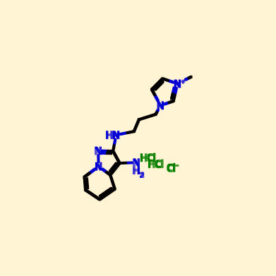 C[n+]1ccn(CCCNc2nn3ccccc3c2N)c1.Cl.Cl.[Cl-]